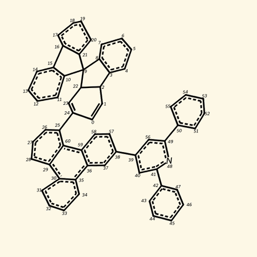 C1=CC2c3ccccc3C3(c4ccccc4-c4ccccc43)C2C=C1c1cccc2c3ccccc3c3cc(-c4cc(-c5ccccc5)nc(-c5ccccc5)c4)ccc3c12